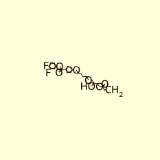 C=CC(=O)OCC(O)COCCCCOc1ccc(C(=O)Oc2ccc(F)c(F)c2)cc1